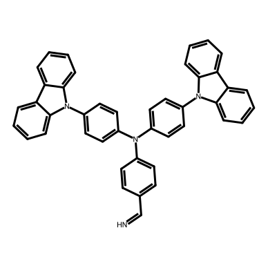 N=Cc1ccc(N(c2ccc(-n3c4ccccc4c4ccccc43)cc2)c2ccc(-n3c4ccccc4c4ccccc43)cc2)cc1